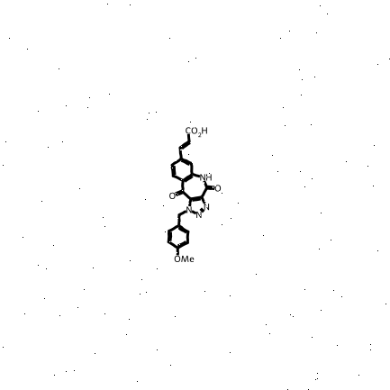 COc1ccc(Cn2nnc3c(=O)[nH]c4cc(C=CC(=O)O)ccc4c(=O)c32)cc1